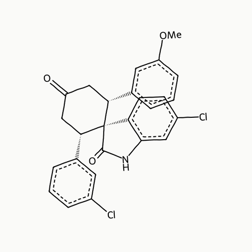 COc1cccc([C@H]2CC(=O)C[C@@H](c3cccc(Cl)c3)[C@]23C(=O)Nc2cc(Cl)ccc23)c1